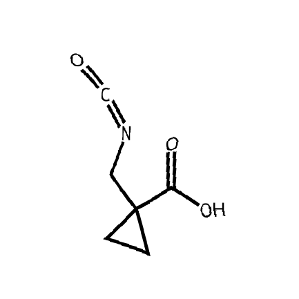 O=C=NCC1(C(=O)O)CC1